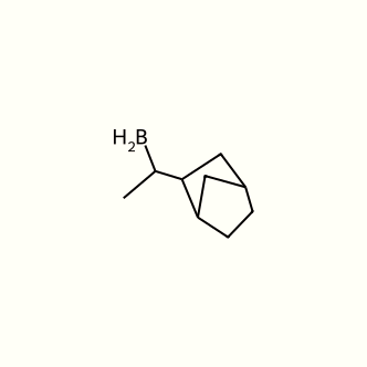 BC(C)C1CC2CCC1C2